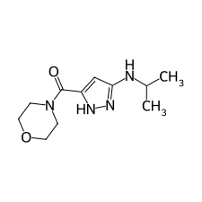 CC(C)Nc1cc(C(=O)N2CCOCC2)[nH]n1